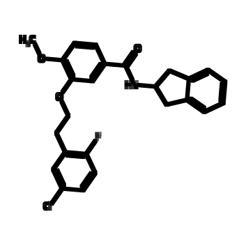 COc1ccc(C(=O)NC2Cc3ccccc3C2)cc1OCCc1cc(Cl)ccc1F